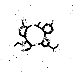 CCN/C1=C(\C=N)Cc2cc(C(F)F)nn2-c2ccc(F)cc2C(C)Oc2cc1cnc2N